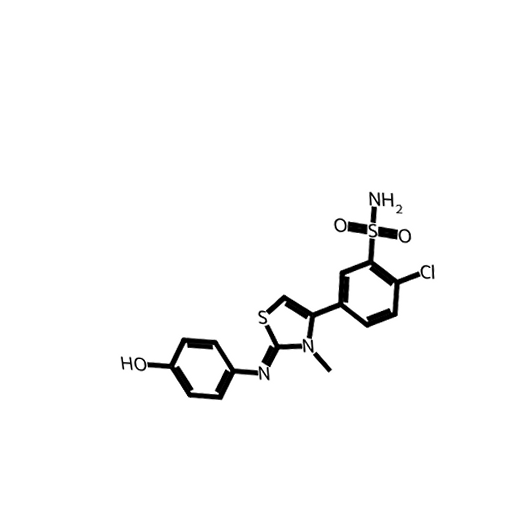 Cn1c(-c2ccc(Cl)c(S(N)(=O)=O)c2)csc1=Nc1ccc(O)cc1